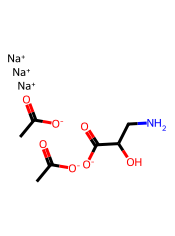 CC(=O)[O-].CC(=O)[O-].NCC(O)C(=O)[O-].[Na+].[Na+].[Na+]